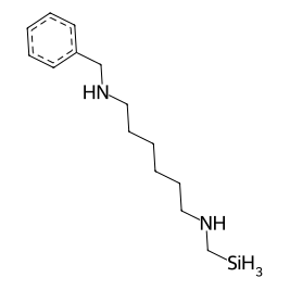 [SiH3]CNCCCCCCNCc1ccccc1